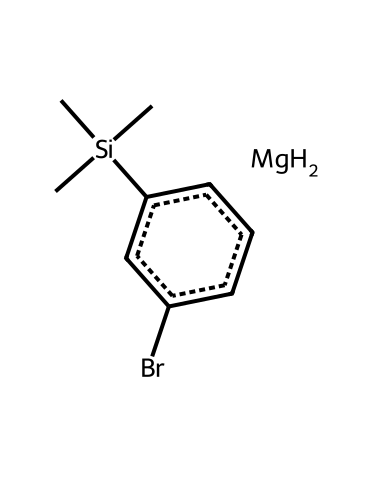 C[Si](C)(C)c1cccc(Br)c1.[MgH2]